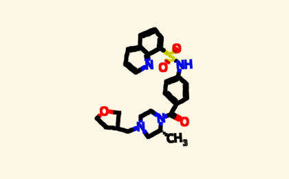 C[C@@H]1CN(CC2CCOC2)CCN1C(=O)c1ccc(NS(=O)(=O)c2cccc3cccnc23)cc1